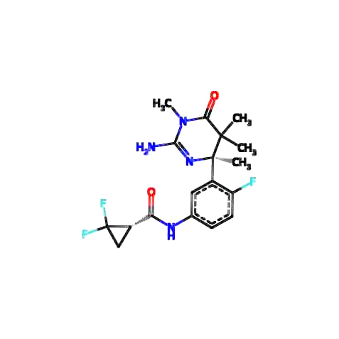 CN1C(=O)C(C)(C)[C@@](C)(c2cc(NC(=O)[C@@H]3CC3(F)F)ccc2F)N=C1N